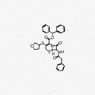 O=C(Cc1ccccc1)NC1C(=O)N2C(C(=O)OC(c3ccccc3)c3ccccc3)=C(SC3CCOC3)CS[C@@H]12